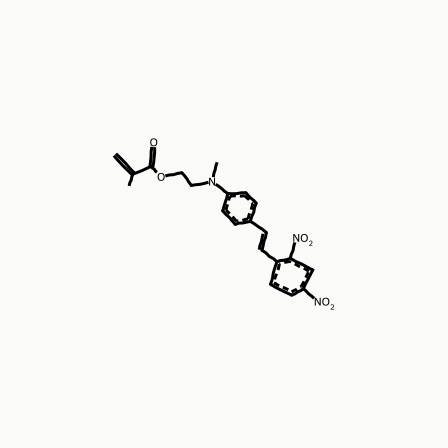 C=C(C)C(=O)OCCN(C)c1ccc(C=Cc2ccc([N+](=O)[O-])cc2[N+](=O)[O-])cc1